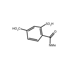 CNC(=O)c1ccc(C(=O)O)cc1S(=O)(=O)O